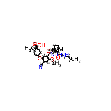 CCCCNC(=O)[C@H]1[C@@H]2CC[C@@H](C2)[C@H]1NC(O)c1cc(O[C@H]2CC[C@@](C)(C(=O)O)CC2)c(C#N)cc1OC